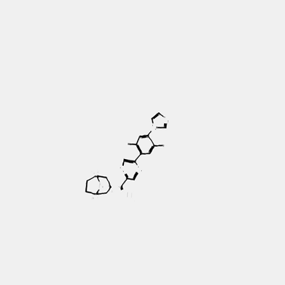 C=C(c1cnc(-c2cc(F)c(-n3ccnc3)cc2O)cn1)[C@@H]1C[C@H]2CC[C@@](C)(C1)N2